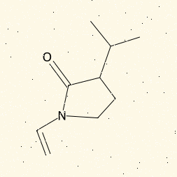 C=CN1CCC(C(C)C)C1=O